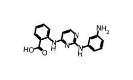 Nc1cccc(Nc2nccc(Nc3ccccc3C(=O)O)n2)c1